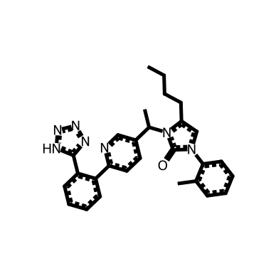 CCCCc1cn(-c2ccccc2C)c(=O)n1C(C)c1ccc(-c2ccccc2-c2nnn[nH]2)nc1